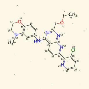 CCOCc1nc(Nc2ccc3c(c2)N(C)CCO3)c2ccc(-c3ncccc3Cl)nc2n1